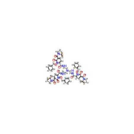 O=C(NCCN(CCNC(=O)c1ccc(C(=O)N2CCSC2=S)c(=O)n1OCc1ccccc1)CCNC(=O)c1ccc(C(=O)N2CCSC2=S)c(=O)n1OCc1ccccc1)c1ccc(C(=O)N2CCSC2=S)c(=O)n1OCc1ccccc1